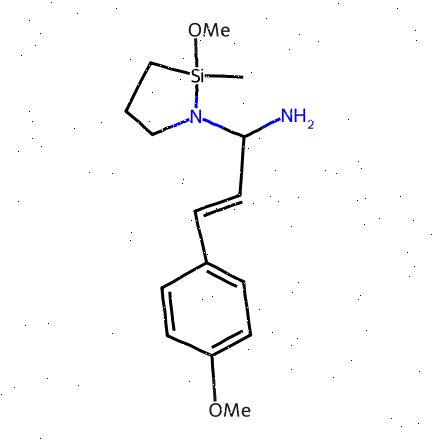 COc1ccc(C=CC(N)N2CCC[Si]2(C)OC)cc1